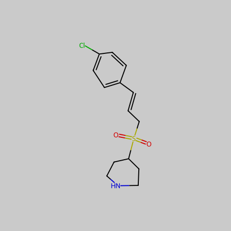 O=S(=O)(CC=Cc1ccc(Cl)cc1)C1CCNCC1